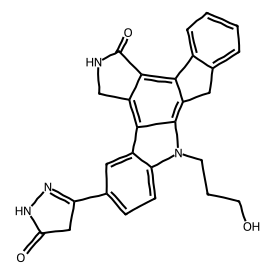 O=C1CC(c2ccc3c(c2)c2c4c(c5c(c2n3CCCO)Cc2ccccc2-5)C(=O)NC4)=NN1